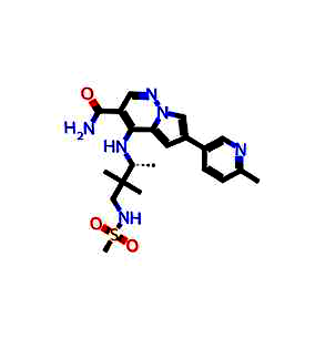 Cc1ccc(-c2cc3c(N[C@H](C)C(C)(C)CNS(C)(=O)=O)c(C(N)=O)cnn3c2)cn1